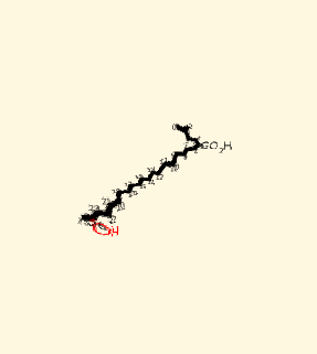 C=C(C)CCC(CCCCCCCCCCCCCCCCCCC(=C)O)C(=O)O